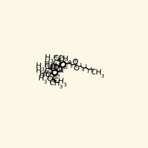 CCCCCCOC(=O)CCc1cc(Cc2cc(C(C)(C)C)c(O)c(C(C)(C)C)c2)c(O)c(C(C)(C)C)c1